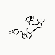 O=C(O)c1cccc(C#Cc2ccc3ccn(CC4CC[S+]([O-])CC4)c3c2F)c1-c1ccc2cc[nH]c2c1